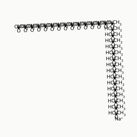 CC(=O)O.CC(=O)O.CC(=O)O.CC(=O)O.CC(=O)O.CC(=O)O.CC(=O)O.CC(=O)O.CC(=O)O.CC(=O)O.CC(=O)O.CC(=O)O.CC(=O)O.CC(=O)O.CC(=O)O.CC(=O)O.CC(=O)O.CC(=O)O.CC(=O)O.CC(=O)O.CC(=O)O.CC(=O)O.CC(=O)O.CC(=O)O.CC(=O)O.CC(=O)O.CC(=O)O.CC(=O)O.CC(=O)O.CC(=O)[O-].[Na+]